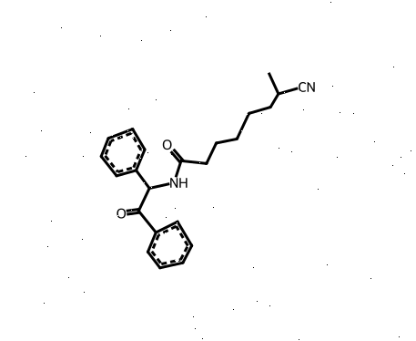 CC(C#N)CCCCCC(=O)NC(C(=O)c1ccccc1)c1ccccc1